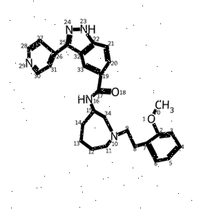 COc1ccccc1CCN1CCCCC(NC(=O)c2ccc3[nH]nc(-c4ccncc4)c3c2)C1